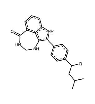 CC(C)CC(Cl)c1ccc(-c2[nH]c3cccc4c3c2NCNC4=O)cc1